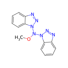 CON(n1nnc2ccccc21)n1nnc2ccccc21